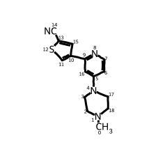 CN1CCN(c2ccnc(-c3csc(C#N)c3)c2)CC1